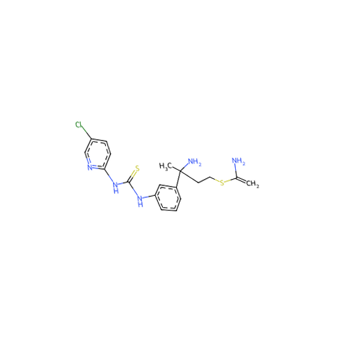 C=C(N)SCCC(C)(N)c1cccc(NC(=S)Nc2ccc(Cl)cn2)c1